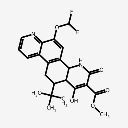 COC(=O)C1=C(O)C2C(NC1=O)c1cc(OC(F)F)c3ncccc3c1CC2C(C)(C)C